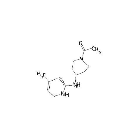 CC(=O)N1CCC(NC2=CC(C)=CCN2)CC1